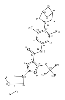 CCC1(OC)CN(c2nc(C(=O)Nc3cc(F)c(N4CC5CC(C5)C4)c(F)c3)c(CC(F)(F)F)o2)C1